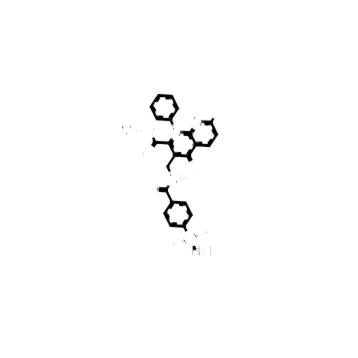 COC(=O)c1c(CNC(=O)c2ccc(S(N)(=O)=O)cc2)c(=O)c2ccc(C(F)(F)F)nc2n1-c1ccccc1